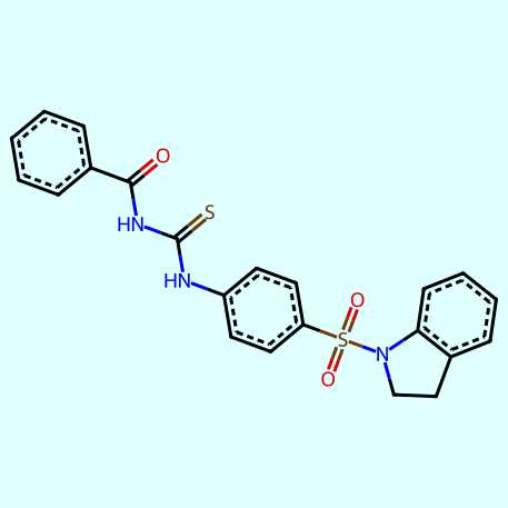 O=C(NC(=S)Nc1ccc(S(=O)(=O)N2CCc3ccccc32)cc1)c1ccccc1